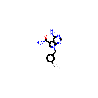 NC(=O)c1cn(Cc2cccc([N+](=O)[O-])c2)c2ncnc(N)c12